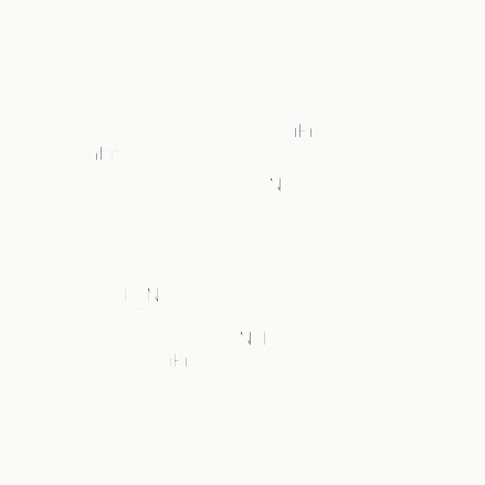 CCC/C=C\C1=CC(N)=C(NC(C)C)c2ccccc2N1C(C)C